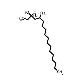 CCCCCCCCCCCCCC(C)CC(C)(O)CC